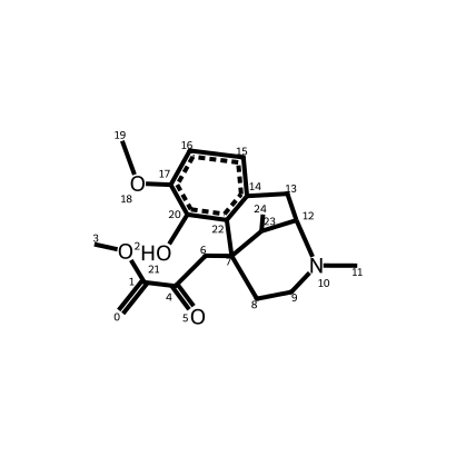 C=C(OC)C(=O)CC12CCN(C)C(Cc3ccc(OC)c(O)c31)C2C